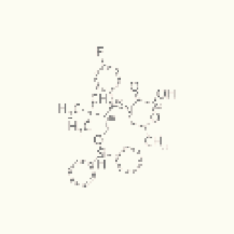 CC1CN([C@@H](c2ccc(F)cc2)[C@H](CO[SiH](c2ccccc2)c2ccccc2)C(C)(C)C)C(=O)[C@@H](O)O1